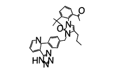 CCCc1cn(-c2c(C(C)=O)cccc2C(C)(C)C)c(=O)n1Cc1ccc(-c2ncccc2-c2nnn[nH]2)cc1